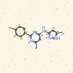 Cc1ccc(-c2nc(C)cc(Nc3cc(C)[nH]n3)n2)cc1